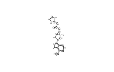 C[C@]12O[C@@H](c3ccc4c(N)ncnn34)CC1C2OC(=O)O[C@H]1CCOC1